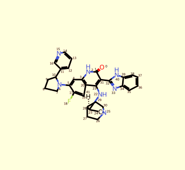 O=c1[nH]c2cc(N3CCCC3c3cccnc3)c(F)cc2c(N[C@H]2CN3CCC2CC3)c1-c1nc2ccccc2[nH]1